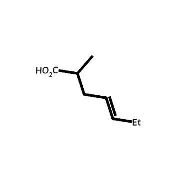 CCC=CCC(C)C(=O)O